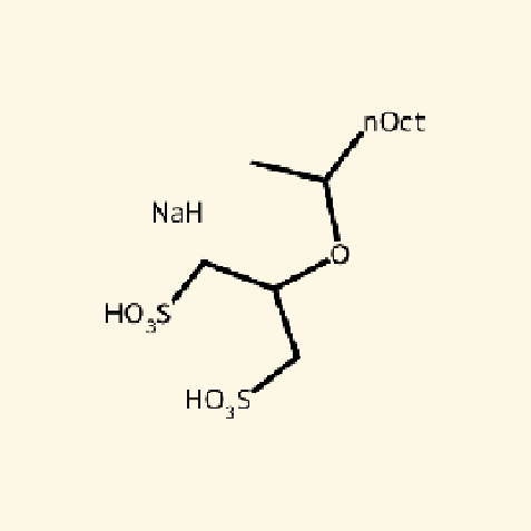 CCCCCCCCC(C)OC(CS(=O)(=O)O)CS(=O)(=O)O.[NaH]